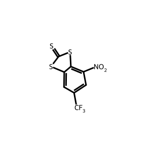 O=[N+]([O-])c1cc(C(F)(F)F)cc2sc(=S)sc12